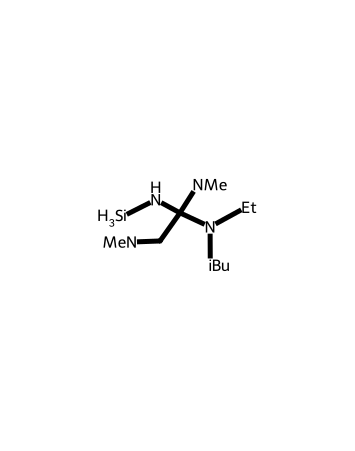 CCC(C)N(CC)C(CNC)(NC)N[SiH3]